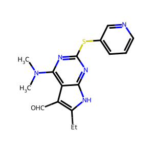 CCc1[nH]c2nc(Sc3cccnc3)nc(N(C)C)c2c1C=O